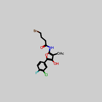 CC(=O)Oc1c(NC(=O)CCCBr)oc(-c2ccc(F)c(Cl)c2)c1O